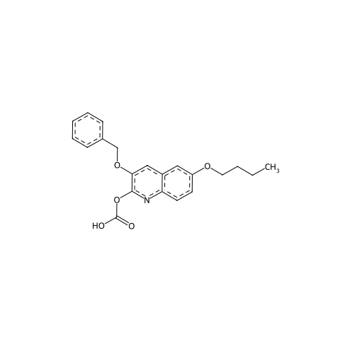 CCCCOc1ccc2nc(OC(=O)O)c(OCc3ccccc3)cc2c1